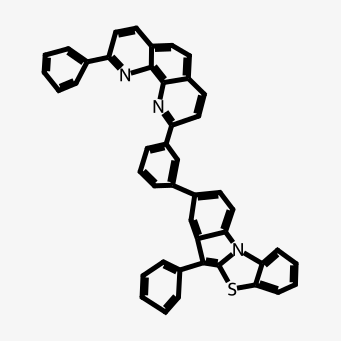 c1ccc(-c2ccc3ccc4ccc(-c5cccc(-c6ccc7c(c6)c(-c6ccccc6)c6sc8ccccc8n67)c5)nc4c3n2)cc1